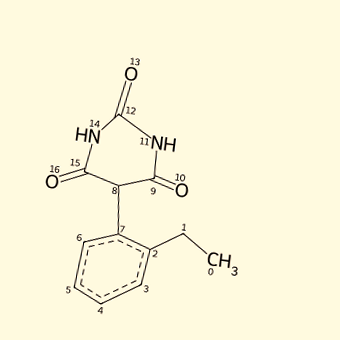 CCc1ccccc1C1C(=O)NC(=O)NC1=O